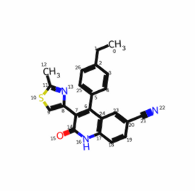 CCc1ccc(-c2c(-c3csc(C)n3)c(=O)[nH]c3ccc(C#N)cc23)cc1